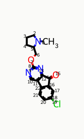 CN1CCCC1COc1ncc2c(n1)C(=O)c1cc(Cl)ccc1-2